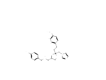 COc1ccc(CCC2(Cn3ccnc3)OCC(COCc3ccc(F)cc3)O2)cc1